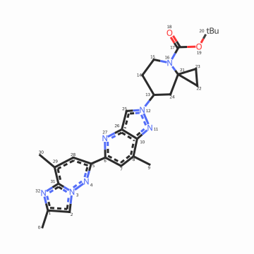 Cc1cn2nc(-c3cc(C)c4nn(C5CCN(C(=O)OC(C)(C)C)C6(CC6)C5)cc4n3)cc(C)c2n1